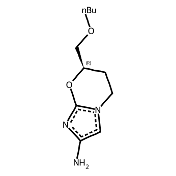 CCCCOC[C@H]1CCn2cc(N)nc2O1